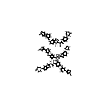 CN1CCN(c2ccc3nc(NC(=O)Nc4ccc(Oc5ccnc(-c6cnn(C)c6)c5)cc4F)sc3c2)CC1.Cn1cc(-c2cc(Oc3ccc(NC(=O)Nc4nc5ccc(N6CCCC6)cc5s4)cc3F)ccn2)cn1.Cn1cc(-c2cc(Oc3ccc(NC(=O)Nc4nc5ccc(N6CCOCC6)cc5s4)c(F)c3)ccn2)cn1